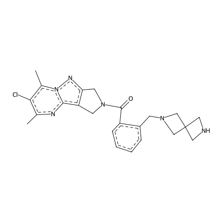 Cc1nc2c3c(nn2c(C)c1Cl)CN(C(=O)c1ccccc1CN1CC2(CNC2)C1)C3